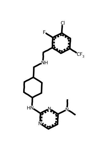 CN(C)c1ccnc(NC2CCC(CNCc3cc(C(F)(F)F)cc(Cl)c3F)CC2)n1